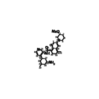 CO[C@@H]1CCCN(c2cnc3c(C(=O)Nc4cnccc4C4CC(C)CC(N)C4)ccc(C)c3c2)C1